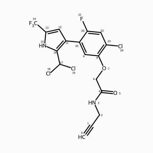 C#CCNC(=O)COc1cc(-c2cc(C(F)(F)F)[nH]c2C(Cl)Cl)c(F)cc1Cl